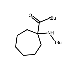 CC(C)(C)NC1(C(=O)C(C)(C)C)CCCCCC1